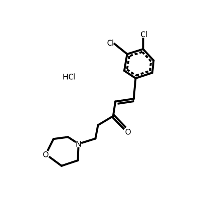 Cl.O=C(C=Cc1ccc(Cl)c(Cl)c1)CCN1CCOCC1